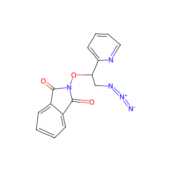 [N-]=[N+]=NCC(ON1C(=O)c2ccccc2C1=O)c1ccccn1